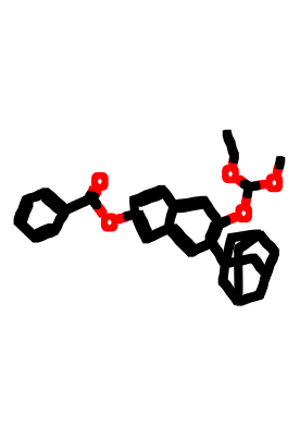 CCOC(OC)Oc1cc2ccc(OC(=O)c3ccccc3)cc2cc1C12CC3CC(CC(C3)C1)C2